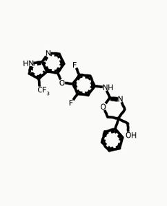 OCC1(c2ccccc2)CN=C(Nc2cc(F)c(Oc3ccnc4[nH]cc(C(F)(F)F)c34)c(F)c2)OC1